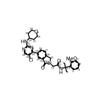 COc1ccccc1C(C)(C)NC(=O)CN1Cc2ccc(-c3nc(NC4CCOCC4)ncc3Cl)cc2C1=O